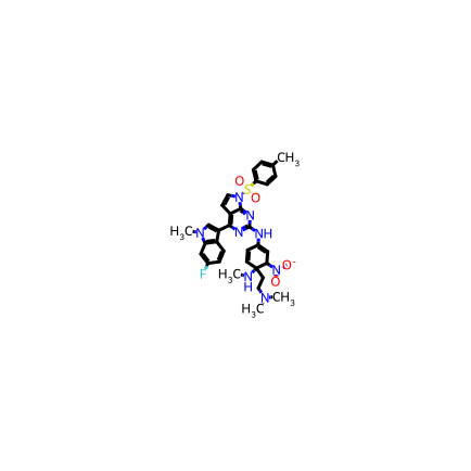 CNC1(CCN(C)C)C=CC(Nc2nc(-c3cn(C)c4cc(F)ccc34)c3ccn(S(=O)(=O)c4ccc(C)cc4)c3n2)=CC1[N+](=O)[O-]